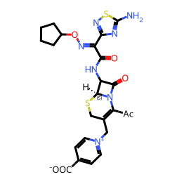 CC(=O)C1=C(C[n+]2ccc(C(=O)[O-])cc2)CS[C@H]2C(NC(=O)C(=NOC3CCCC3)c3nsc(N)n3)C(=O)N12